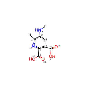 CNc1cc(C(=O)O)c(C(=O)O)nc1C